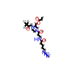 CCC(=O)OCC1CN(C(=O)CCNC(=O)CCCCN=[N+]=[N-])CCN1CC(=O)C(C)(C)C